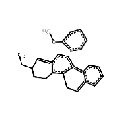 CCC1C=c2ccc3c(c2CC1)CC=c1ccccc1=3.COc1ccccn1